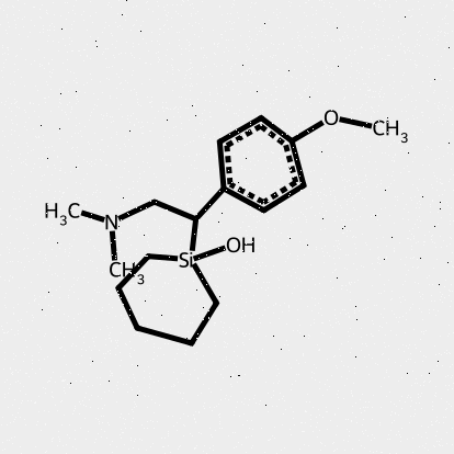 COc1ccc(C(CN(C)C)[Si]2(O)CCCCC2)cc1